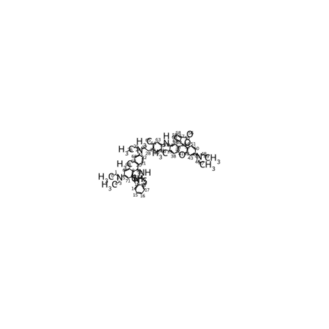 CCN(CC)c1ccc(C(Nc2nc3ccccc3s2)c2ccc(N(CC)CCc3ccc(Nc4cc5c(cc4C)Oc4cc(N(CC)CC)ccc4C54OC(=O)c5ccccc54)cc3C)cc2C)c(C)c1